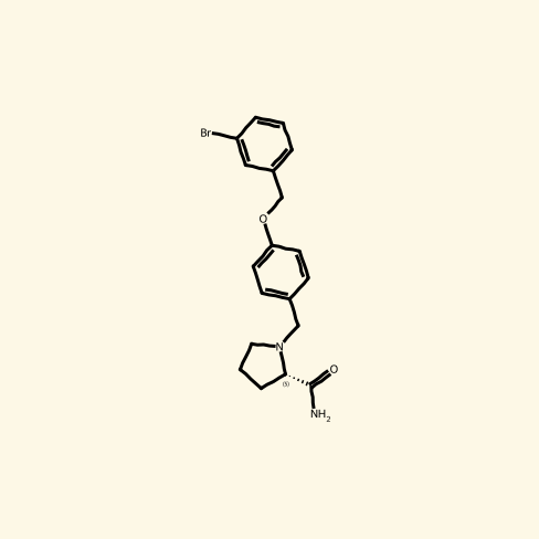 NC(=O)[C@@H]1CCCN1Cc1ccc(OCc2cccc(Br)c2)cc1